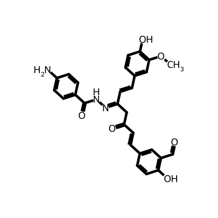 COc1cc(/C=C/C(CC(=O)/C=C/c2ccc(O)c(C=O)c2)=N\NC(=O)c2ccc(N)cc2)ccc1O